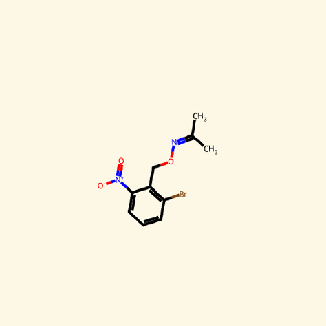 CC(C)=NOCc1c(Br)cccc1[N+](=O)[O-]